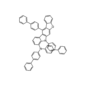 c1ccc(-c2ccc(-c3c4c(cc5c3c3cccc(N(c6ccc(-c7ccccc7)cc6)c6ccc(-c7ccccc7)cc6)c3n5-c3ccccc3)oc3ccccc34)cc2)cc1